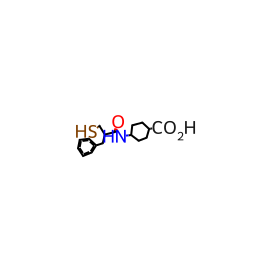 O=C(O)C1CCC(NC(=O)C(CS)Cc2ccccc2)CC1